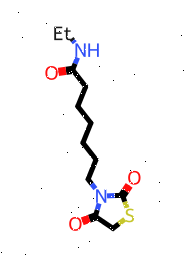 CCNC(=O)CCCCCCN1C(=O)CSC1=O